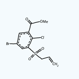 C=CCS(=O)(=O)c1cc(Br)cc(C(=O)OC)c1Cl